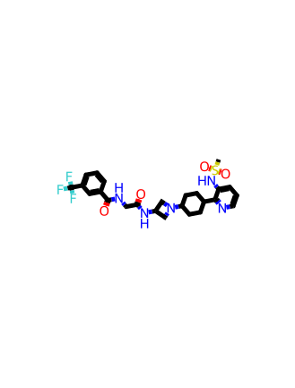 CS(=O)(=O)Nc1cccnc1C1CCC(N2CC(NC(=O)CNC(=O)c3cccc(C(F)(F)F)c3)C2)CC1